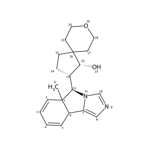 CC12C=CC=CC1c1cncn1[C@@H]2[C@@H]1CCC2(CCOCC2)[C@@H]1O